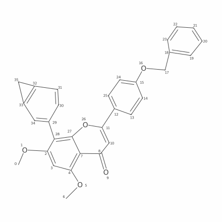 COc1cc(OC)c2c(=O)cc(-c3ccc(OCc4ccccc4)cc3)oc2c1-c1ccc2c(c1)C2